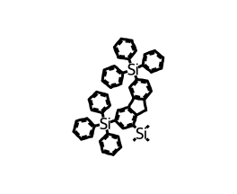 C[Si](C)(C)c1cc([Si](c2ccccc2)(c2ccccc2)c2ccccc2)cc2c1Cc1ccc([Si](c3ccccc3)(c3ccccc3)c3ccccc3)cc1-2